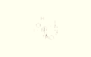 Cc1cccc(C)c1-c1cc2nc(n1)NS(=O)(=O)c1cccc(c1)C(=O)N1CCNC(CO2)C1